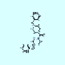 O=C(C1CCN(Cc2ccnnc2)CC1)N1CCC(Oc2ccccn2)CC1